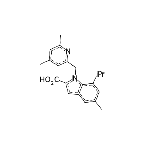 Cc1cc(C)nc(Cn2c(C(=O)O)cc3cc(C)cc(C(C)C)c32)c1